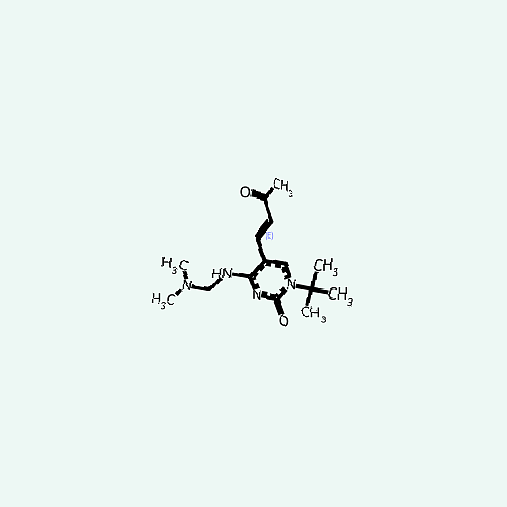 CC(=O)/C=C/c1cn(C(C)(C)C)c(=O)nc1NCN(C)C